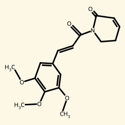 COc1cc(C=CC(=O)N2CCC=CC2=O)cc(OC)c1OC